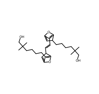 CC(C)(CO)CCCCC1=C2OC1=CC2C=CC1=C2OC1=CC2CCCCC(C)(C)CO